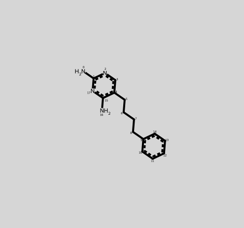 Nc1ncc(CCCCc2ccccc2)c(N)n1